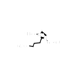 CCCCCCCCCCCCCc1n(CCCCC)cc[n+]1CCCCCC